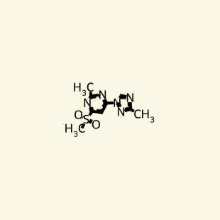 Cc1nc(-n2cnc(C)n2)cc(S(C)(=O)=O)n1